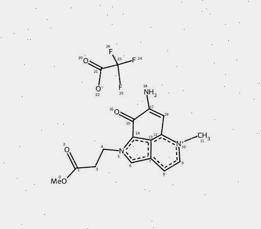 COC(=O)CCn1cc2cc[n+](C)c3c2c1C(=O)C(N)=C3.O=C([O-])C(F)(F)F